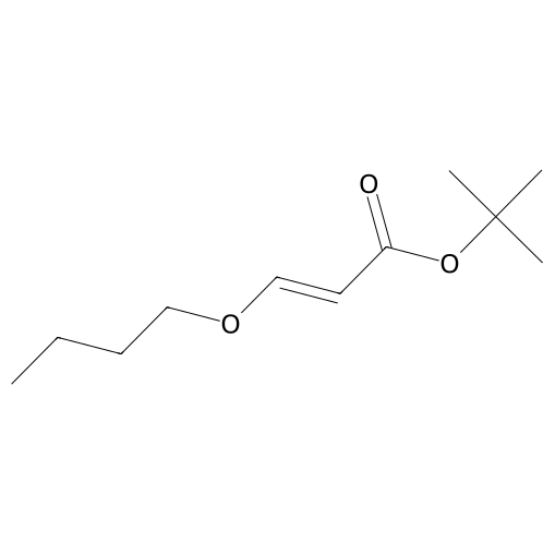 CCCCOC=CC(=O)OC(C)(C)C